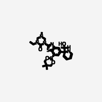 CCN1CN(C)CN(c2nc3cc(C4(C(C)(C)O)C=CC=CN4)cc(B4OCC(C)(C)CO4)c3s2)C1=O